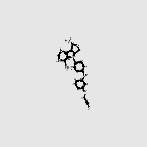 CC1OCc2c1c1ncnc(N)c1n2-c1ccc(Oc2cccc(OCC#N)c2)cc1